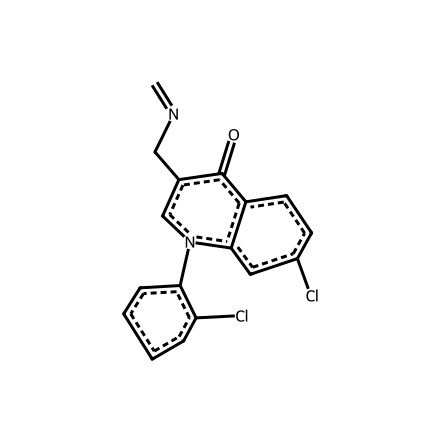 C=NCc1cn(-c2ccccc2Cl)c2cc(Cl)ccc2c1=O